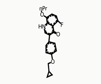 CCCOc1ccc(F)c2c(=O)c(-c3ccc(OCC4CC4)cc3)c[nH]c12